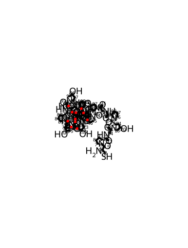 N[C@@H](CS)C(=O)N1CCC[C@H]1C(=O)NCC(=O)N1C[C@H](O)C[C@H]1C(=O)N1CCC[C@H]1C(=O)NCC(=O)N1C[C@H](O)C[C@H]1C(=O)N1CCC[C@H]1C(=O)NCC(=O)N1C[C@H](O)C[C@H]1C(=O)N1CCC[C@H]1C(=O)NCC(=O)N1C[C@H](O)C[C@H]1C(=O)N1CCC[C@H]1C(=O)NCC(=O)N1C[C@H](O)C[C@H]1C(=O)N1CCC[C@H]1C(=O)NCC(=O)N1C[C@H](O)C[C@H]1C(=O)N1CCC[C@H]1C(=O)NCC(=O)O